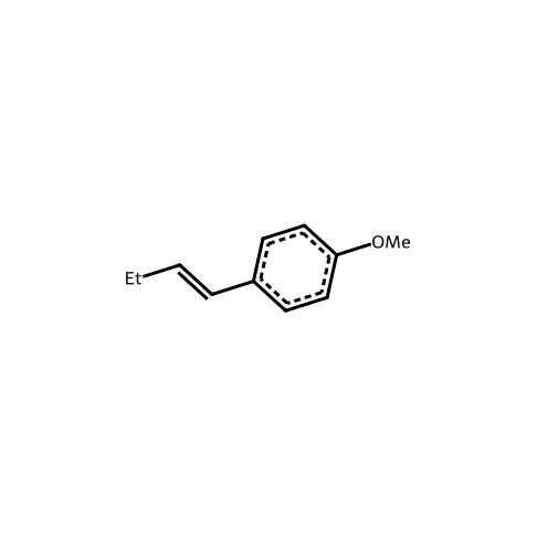 [CH2]CC=Cc1ccc(OC)cc1